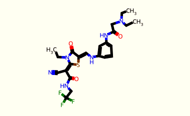 CCN(CC)CC(=O)Nc1cccc(NC=c2sc(=C(C#N)C(=O)NCC(F)(F)F)n(CC)c2=O)c1